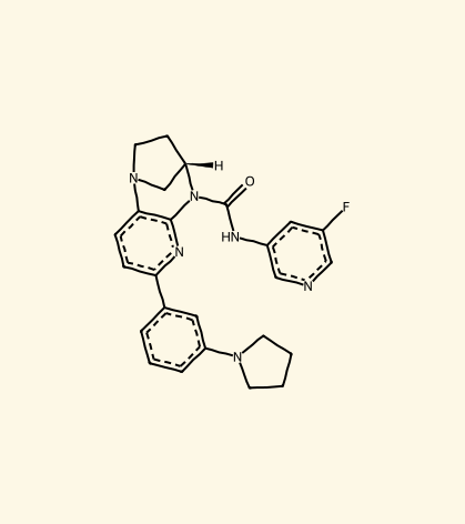 O=C(Nc1cncc(F)c1)N1c2nc(-c3cccc(N4CCCC4)c3)ccc2N2CC[C@H]1C2